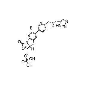 O=C1O[C@@H](COP(=O)(O)O)[C@@H]2Cc3cc(-c4ccc(CNCc5cnn[nH]5)nc4)c(F)cc3N12